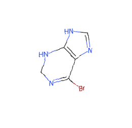 BrC1=NCNc2[nH]cnc21